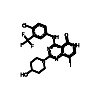 O=c1[nH]cc(I)c2nc(N3CCC(O)CC3)nc(Nc3ccc(Cl)c(C(F)(F)F)c3)c12